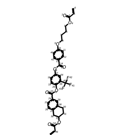 C=CC(=O)OCCCCOc1ccc(C(=O)Oc2ccc(OC(=O)c3ccc4c(c3)CCC(OC(=O)C=C)C4)c(C(F)(F)F)c2)cc1